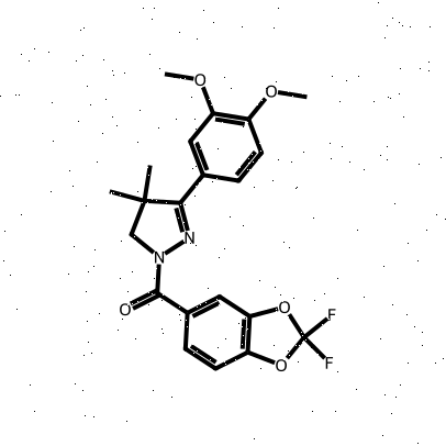 COc1ccc(C2=NN(C(=O)c3ccc4c(c3)OC(F)(F)O4)CC2(C)C)cc1OC